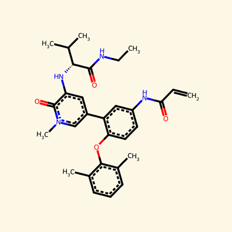 C=CC(=O)Nc1ccc(Oc2c(C)cccc2C)c(-c2cc(N[C@@H](C(=O)NCC)C(C)C)c(=O)n(C)c2)c1